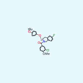 COc1ccc(C(=O)N2Cc3ccc(F)cc3C[C@H]2COc2ccc(OC(C)(C)C)cc2)cc1Cl